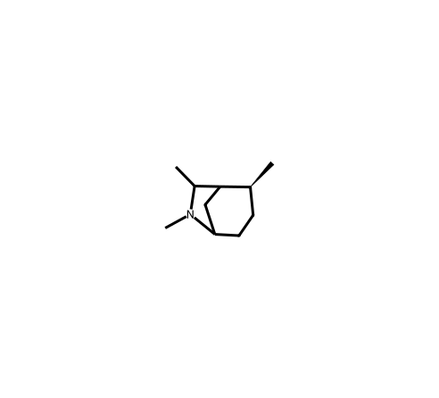 CC1C2CC(CC[C@@H]2C)N1C